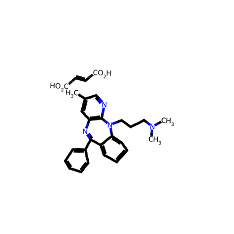 Cc1cnc2c(c1)N=C(c1ccccc1)c1ccccc1N2CCCN(C)C.O=C(O)C=CC(=O)O